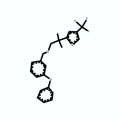 CC(C)(COCc1cccc(Oc2ccccc2)c1)c1cc(C(F)(F)F)cs1